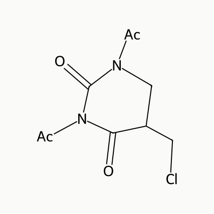 CC(=O)N1CC(CCl)C(=O)N(C(C)=O)C1=O